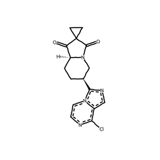 O=C1[C@@H]2CC[C@H](c3ncc4c(Cl)nccn34)CN2C(=O)C12CC2